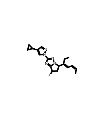 C/C=C\C=C(/CC)C1CC(F)c2nc(-n3cc(C4CC4)cn3)nn21